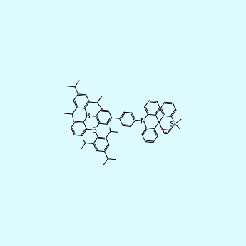 CC(C)c1cc(C(C)C)c(B2c3ccccc3B(c3c(C(C)C)cc(C(C)C)cc3C(C)C)c3cc(-c4ccc(N5c6ccccc6C6(c7ccccc75)c5ccccc5[Si](C)(C)c5ccccc56)cc4)ccc32)c(C(C)C)c1